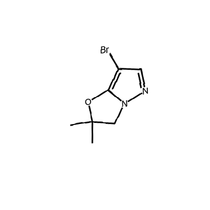 CC1(C)Cn2ncc(Br)c2O1